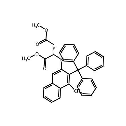 COC(=O)C[C@H](Nc1cc2ccccc2c(C)c1C(c1ccccc1)(c1ccccc1)c1ccccc1)C(=O)OC